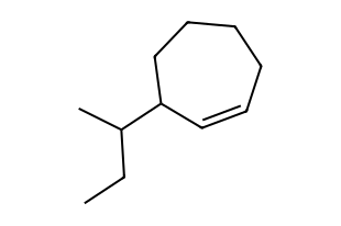 CCC(C)C1C=CCCCC1